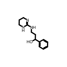 OC(CCNC1=NCCCN1)c1ccccc1